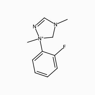 CN1C=N[N+](C)(c2ccccc2F)C1